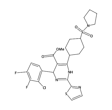 COC(=O)C1=C(C2CCC(S(=O)(=O)N3CCCC3)CC2)NC(c2nccs2)=NC1c1ccc(F)c(F)c1Cl